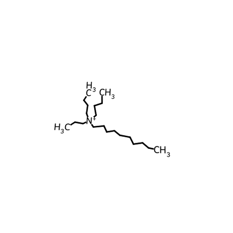 CCCCCCCCCC[N+](CCC)(CCCC)CCCC